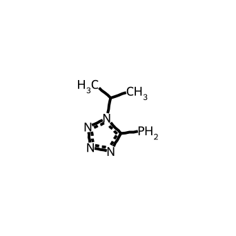 CC(C)n1nnnc1P